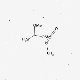 CN=C=O.COC([SiH3])OC